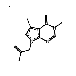 C=C(C)Cn1cc(C)c2c1N=CN(C)C2=C